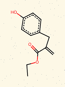 C=C(Cc1ccc(O)cc1)C(=O)OCC